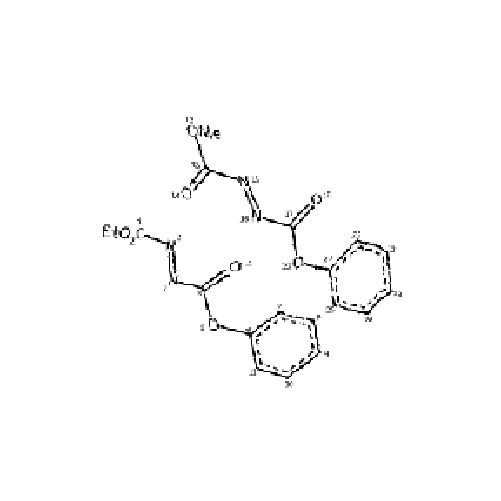 CCOC(=O)N=NC(=O)Oc1ccccc1.COC(=O)N=NC(=O)Oc1ccccc1